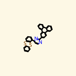 c1ccc2c(c1)Sc1cccc(-c3ccnc(-c4ccc5c6ccccc6c6ccccc6c5c4)n3)c1S2